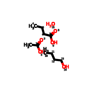 CC(=O)O.CCCC(=O)O.CCCCO.O